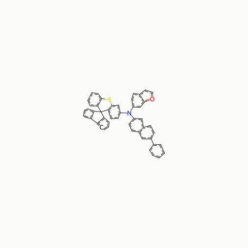 c1ccc(-c2ccc3cc(N(c4ccc5c(c4)Sc4ccccc4C54c5ccccc5-c5ccccc54)c4ccc5ccoc5c4)ccc3c2)cc1